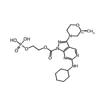 C[C@H]1CN(c2nn(C(=O)OCCOP(=O)(O)O)c3nc(NC4CCCCC4)ncc23)CCO1